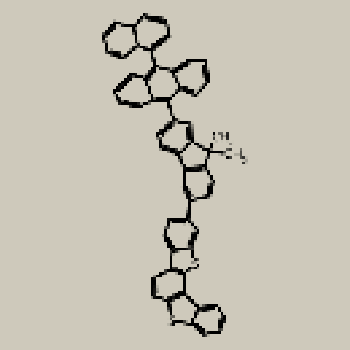 CC1(C)c2ccc(-c3ccc4c(c3)sc3c4ccc4sc5ccccc5c43)cc2-c2ccc(-c3c4ccccc4c(C4=CC=CC5C=CC=CC45)c4ccccc34)cc21